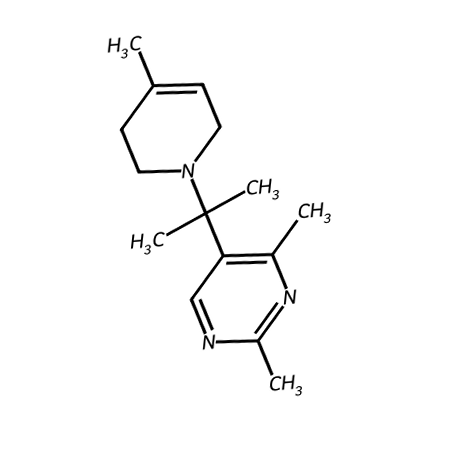 CC1=CCN(C(C)(C)c2cnc(C)nc2C)CC1